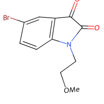 COCCN1C(=O)C(=O)c2cc(Br)ccc21